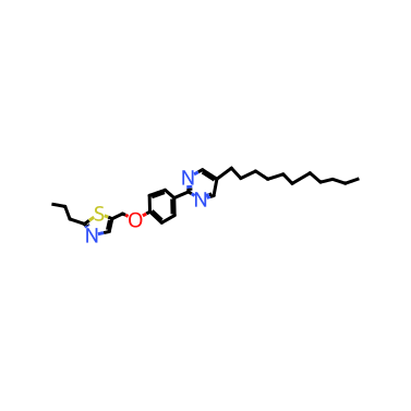 CCCCCCCCCCCc1cnc(-c2ccc(OCc3cnc(CCC)s3)cc2)nc1